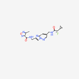 Cc1nonc1C(=O)NCc1cn2ncc(CNC(=O)[C@@H](F)C3CC3)cc2n1